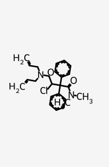 C=CCN(CC=C)C(=O)C(Cl)C(C(=O)N(C)C)(c1ccccc1)c1ccccc1